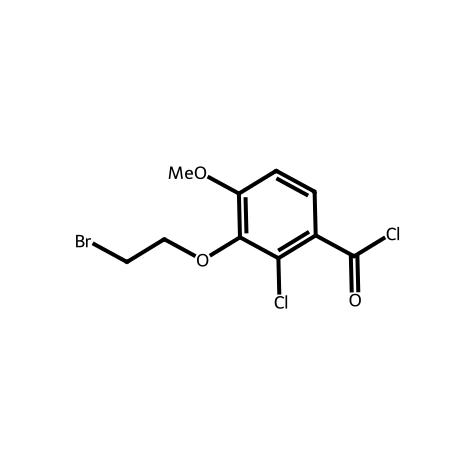 COc1ccc(C(=O)Cl)c(Cl)c1OCCBr